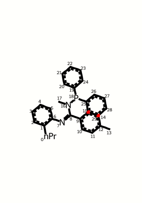 CCCc1ccccc1/N=C(/c1ccc(C)cc1)N(C)P(c1ccccc1)c1ccccc1